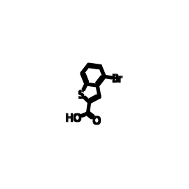 O=C(O)c1cc2c(Br)cccc2s1